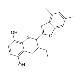 CCC1Cc2c(O)ccc(O)c2SC1c1cc2c(C)cc(C)cc2o1